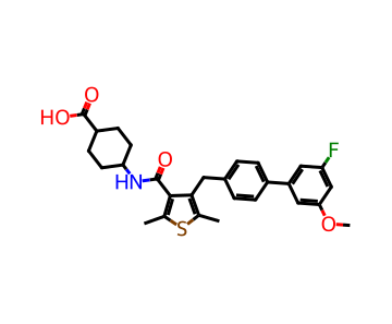 COc1cc(F)cc(-c2ccc(Cc3c(C)sc(C)c3C(=O)NC3CCC(C(=O)O)CC3)cc2)c1